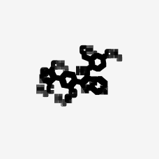 CCC1=C(Nc2c(-c3ccc(-c4c(C)noc4C)cc3OC)nc3cnccn23)CCC(C)C1